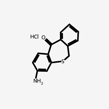 Cl.Nc1ccc2c(c1)SCc1ccccc1C2=O